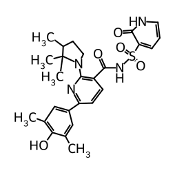 Cc1cc(-c2ccc(C(=O)NS(=O)(=O)c3ccc[nH]c3=O)c(N3CCC(C)C3(C)C)n2)cc(C)c1O